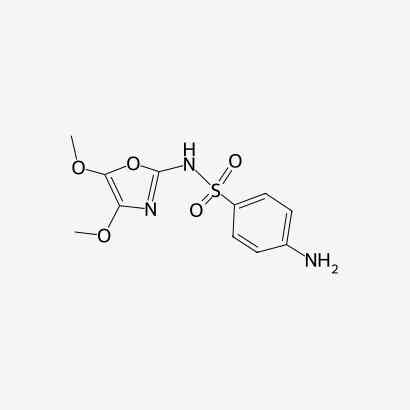 COc1nc(NS(=O)(=O)c2ccc(N)cc2)oc1OC